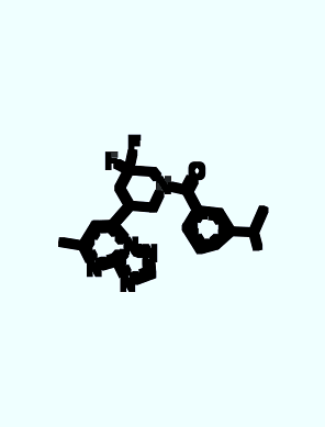 Cc1cc(C2CN(C(=O)c3cccc(C(C)C)c3)CC(F)(F)C2)n2ncnc2n1